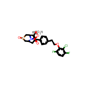 CC(C)(C)OC(=O)N1C2CC(c3ccc(CCOc4c(F)ccc(F)c4Cl)cc3)=C(C(=O)O)C1C[S+]([O-])C2